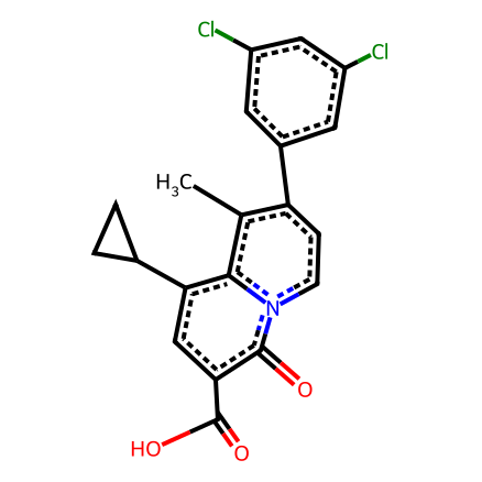 Cc1c(-c2cc(Cl)cc(Cl)c2)ccn2c(=O)c(C(=O)O)cc(C3CC3)c12